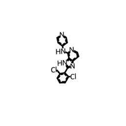 Clc1cccc(Cl)c1-c1nc2ccnc(Nc3ccncc3)c2[nH]1